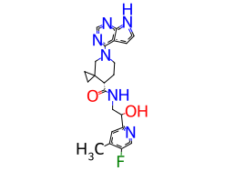 Cc1cc(C(O)CNC(=O)[C@H]2CCN(c3ncnc4[nH]ccc34)CC23CC3)ncc1F